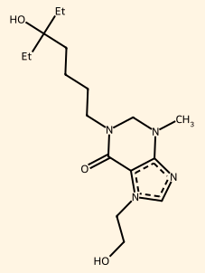 CCC(O)(CC)CCCCN1CN(C)c2ncn(CCO)c2C1=O